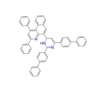 C1=C(c2ccc(-c3ccccc3)cc2)N=C(c2ccc(-c3ccccc3)cc2)NC1c1cc2ccccc2c2c(-c3ccccc3)cc(-c3ccccc3)nc12